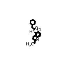 C=Cc1ccc2c(NC(=O)CC3CCCCC3)c(Cl)ccc2n1